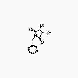 CCC1C(=O)N(Cc2ccccc2)C(=O)C1C(C)C